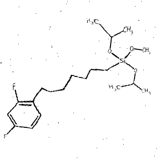 CO[Si](CCCCCCc1ccc(F)cc1F)(OC(C)C)OC(C)C